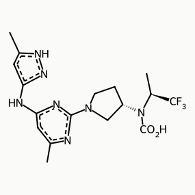 Cc1cc(Nc2cc(C)[nH]n2)nc(N2CC[C@H](N(C(=O)O)[C@@H](C)C(F)(F)F)C2)n1